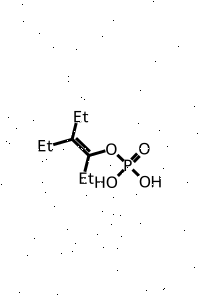 CCC(CC)=C(CC)OP(=O)(O)O